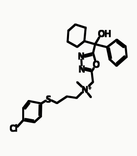 C[N+](C)(CCCSc1ccc(Cl)cc1)Cc1nnc(C(O)(c2ccccc2)C2CCCCC2)o1